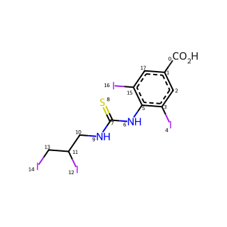 O=C(O)c1cc(I)c(NC(=S)NCC(I)CI)c(I)c1